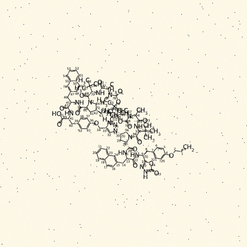 C=CCOc1ccc(C[C@H](NC(=O)C(Cc2ccc3ccccc3c2)NC(=O)[C@@H]2C[C@H](n3cc(COc4ccc(CC(NC(=O)C(Cc5ccc6ccccc6c5)NC(=O)[C@@H]5C[C@H](CC=C)CN5C(=O)C(NC(=O)C(C)N(C)C(=O)OC(C)(C)C)C(C)(C)C)C(=O)O)cc4)nn3)CN2C(=O)C(NC(=O)C(C)N(C)C(=O)OC(C)(C)C)C(C)(C)C)c2n[nH]c(=O)o2)cc1